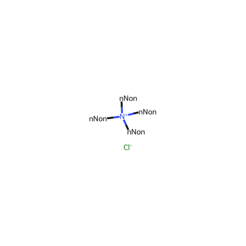 CCCCCCCCC[N+](CCCCCCCCC)(CCCCCCCCC)CCCCCCCCC.[Cl-]